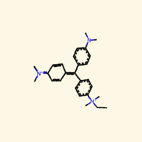 CC[N+](C)(C)c1ccc(C(=C2C=CC(=[N+](C)C)C=C2)c2ccc(N(C)C)cc2)cc1